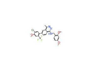 COc1ccc(CNc2nnc(C)c3cc(-c4cc(Cl)c(OC)cc4C(F)(F)F)ccc23)c(OC)c1